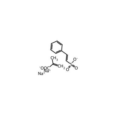 C=C(C)C(=O)[O-].O=S(=O)([O-])C=Cc1ccccc1.[Na+].[Na+]